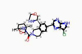 O=C(N1CCc2cc(-c3cnc4[nH]cc(Cl)c4n3)cc([C@@H]3COCCN3)c2C1)N1C[C@H]2CC[C@@H]1CO2